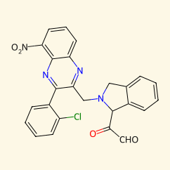 O=CC(=O)C1c2ccccc2CN1Cc1nc2cccc([N+](=O)[O-])c2nc1-c1ccccc1Cl